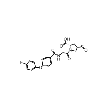 O=[S+][C@@H]1C[C@@H](C(=O)O)N(C(=O)CNC(=O)c2ccc(Oc3ccc(F)cc3)cc2)C1